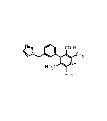 CC1=C(C(=O)O)C(c2cccc(Cn3ccnc3)c2)C(C(=O)O)=C(C)N1